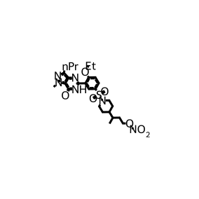 CCCc1nn(C)c2c(=O)[nH]c(-c3cc(S(=O)(=O)N4CCC(C(C)CCO[N+](=O)[O-])CC4)ccc3OCC)nc12